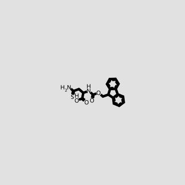 NC(=S)CC(NC(=O)OCC1c2ccccc2-c2ccccc21)C(=O)O